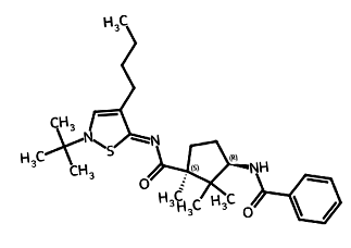 CCCCc1cn(C(C)(C)C)sc1=NC(=O)[C@@]1(C)CC[C@@H](NC(=O)c2ccccc2)C1(C)C